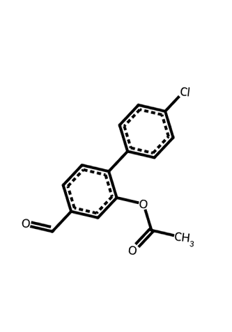 CC(=O)Oc1cc(C=O)ccc1-c1ccc(Cl)cc1